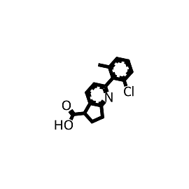 Cc1cccc(Cl)c1-c1ccc2c(n1)CCC2C(=O)O